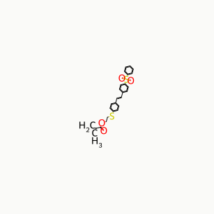 C=C(C)C(=O)OCCSc1ccc(C=Cc2ccc(S(=O)(=O)c3ccccc3)cc2)cc1